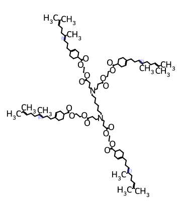 CC(C)=CCC/C(C)=C/CCC1=CCC(C(=O)OCCOC(=O)CCN(CCCCCCN(CCC(=O)OCCOC(=O)C2CC=C(CC/C=C(\C)CCC=C(C)C)CC2)CCC(=O)OCCOC(=O)C2CC=C(CC/C=C(\C)CCC=C(C)C)CC2)CCC(=O)OCCOC(=O)C2CC=C(CC/C=C(\C)CCC=C(C)C)CC2)CC1